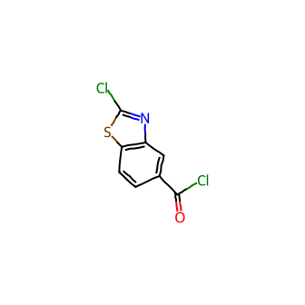 O=C(Cl)c1ccc2sc(Cl)nc2c1